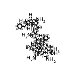 CCCNC(=O)C(NC(=O)[C@H](CCN)NC(=O)[C@H](CCN)NC(=O)[C@H](CC(C)C)NC(=O)[C@@H](Cc1ccccc1)NC(=O)[C@H](CCN)NC(=O)CNC(=O)[C@H](CCN)NC(=O)[C@@H](NC(=O)CC1CCCCC1)C(C)O)C(C)O